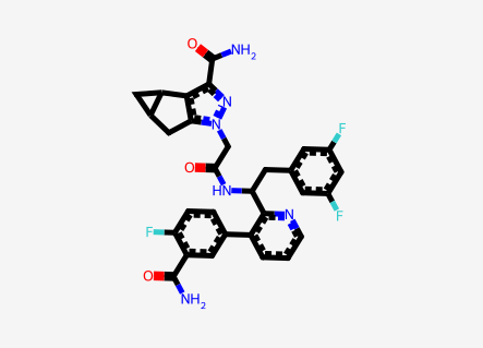 NC(=O)c1cc(-c2cccnc2C(Cc2cc(F)cc(F)c2)NC(=O)Cn2nc(C(N)=O)c3c2CC2CC32)ccc1F